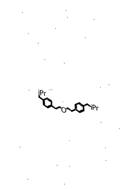 CC(C)Cc1ccc(CCOCCc2ccc(CC(C)C)cc2)cc1